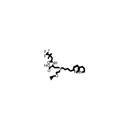 CC(C)(CC(=O)NC(CCN(CCCCc1ccc2c(n1)NCCC2)CCOC1CC1)C(=O)O)C(F)(F)F